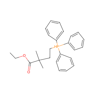 CCOC(=O)C(C)(C)CC[PH](c1ccccc1)(c1ccccc1)c1ccccc1